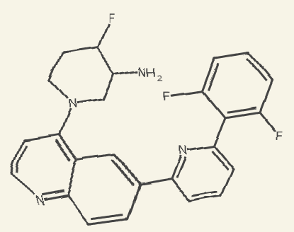 NC1CN(c2ccnc3ccc(-c4cccc(-c5c(F)cccc5F)n4)cc23)CCC1F